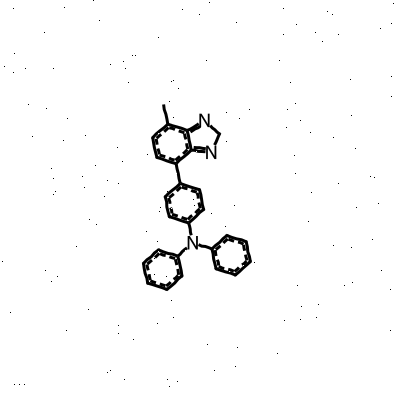 Cc1ccc(-c2ccc(N(c3ccccc3)c3ccccc3)cc2)c2c1=NCN=2